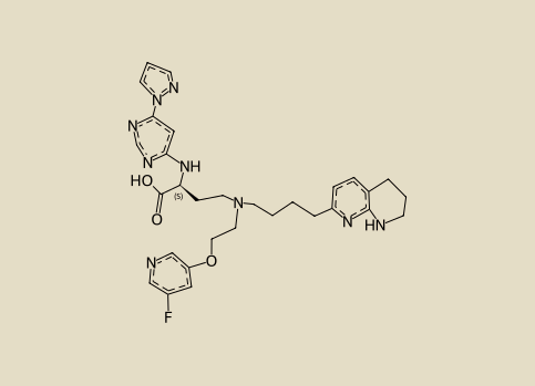 O=C(O)[C@H](CCN(CCCCc1ccc2c(n1)NCCC2)CCOc1cncc(F)c1)Nc1cc(-n2cccn2)ncn1